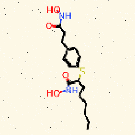 CCCCCCC(Sc1ccc(CCC(=O)NO)cc1)C(=O)NO